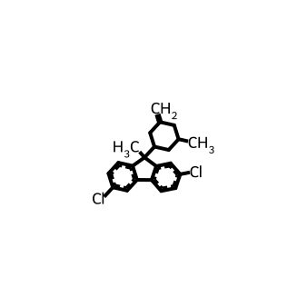 C=C1CC(C)CC(C2(C)c3ccc(Cl)cc3-c3ccc(Cl)cc32)C1